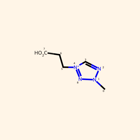 Cn1nc[n+](CCC(=O)O)n1